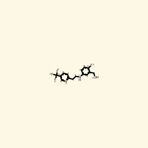 OCc1cc(NCCc2ccc(C(F)(F)F)cn2)ccc1F